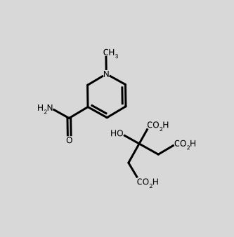 CN1C=CC=C(C(N)=O)C1.O=C(O)CC(O)(CC(=O)O)C(=O)O